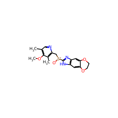 COc1c(C)cnc(C[S+]([O-])c2nc3cc4c(cc3[nH]2)OCCO4)c1C